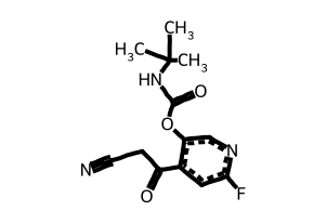 CC(C)(C)NC(=O)Oc1cnc(F)cc1C(=O)CC#N